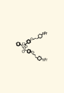 CCCC1CCC(CCCOc2ccc(C(=O)OC[C@H](OC(=O)c3ccc(OCCCC4CCC(CCC)CC4)cc3)c3ccccc3)cc2)CC1